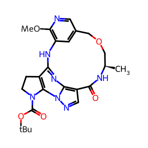 COc1ncc2cc1Nc1nc3c(cnn3c3c1CCN3C(=O)OC(C)(C)C)C(=O)N[C@H](C)COC2